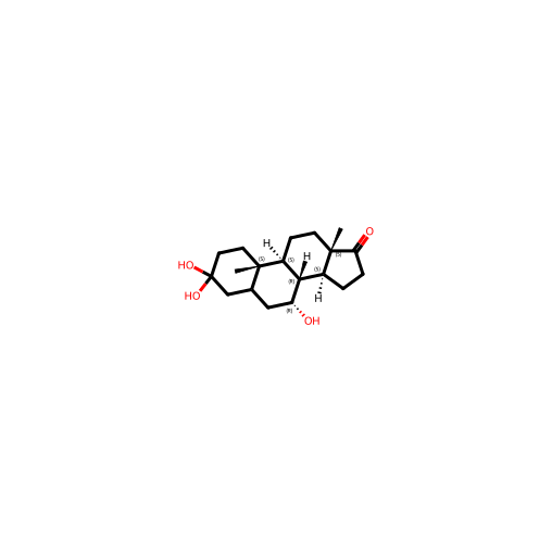 C[C@]12CCC(O)(O)CC1C[C@@H](O)[C@@H]1[C@@H]2CC[C@]2(C)C(=O)CC[C@@H]12